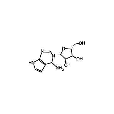 NC1c2cc[nH]c2N=CN1[C@@H]1O[C@H](CO)[C@@H](O)[C@H]1O